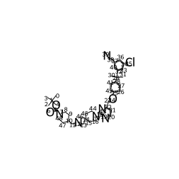 CC(C)(C)OC(=O)N1CCC(CN2CC3(CCN(c4nccc(COc5ccc(C(C)(C)c6cc(Cl)cc(C#N)c6)cc5)n4)CC3)C2)CC1